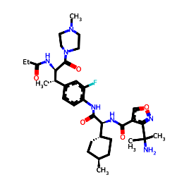 CCC(=O)N[C@@H](C(=O)N1CCN(C)CC1)[C@@H](C)c1ccc(NC(=O)[C@@H](NC(=O)c2conc2C(C)(C)N)[C@H]2CC[C@H](C)CC2)c(F)c1